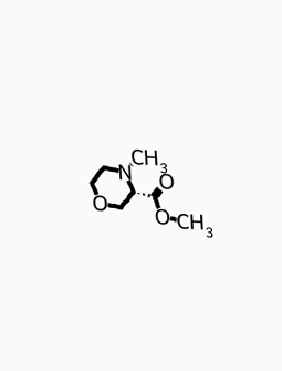 COC(=O)[C@@H]1COCCN1C